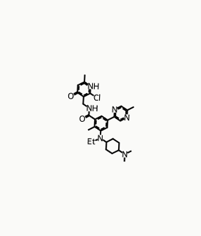 CCN(c1cc(-c2cnc(C)cn2)cc(C(=O)NCc2c(Cl)[nH]c(C)cc2=O)c1C)C1CCC(N(C)C)CC1